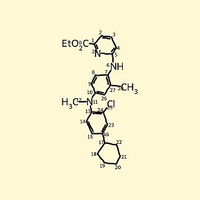 CCOC(=O)c1cccc(Nc2ccc(N(C)c3ccc(C4CCCCC4)cc3Cl)cc2C)n1